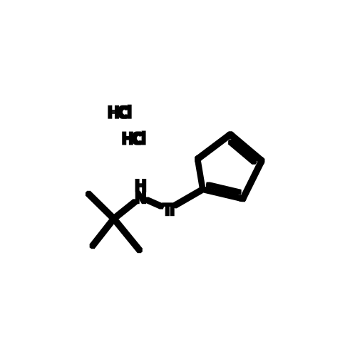 CC(C)(C)[NH][Ti][C]1=CC=CC1.Cl.Cl